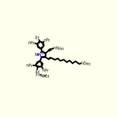 CCCCCCCCCC#CC1=C(c2cc(CCC)c(CC)c(CCC)c2)[N+](=[N-])C(c2cc(CCC)c(CC)c(CCC)c2)=C1C=CCCCCCCCCCCCCCCCCCCC.C[CH2][Ni][CH2]C